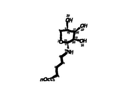 CCCCCCCCCCCCN[C@@H]1OC[C@@H](O)[C@@H](O)[C@H]1O